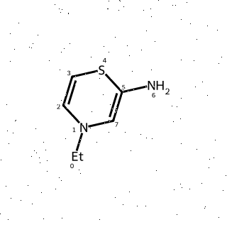 CCN1C=CSC(N)=C1